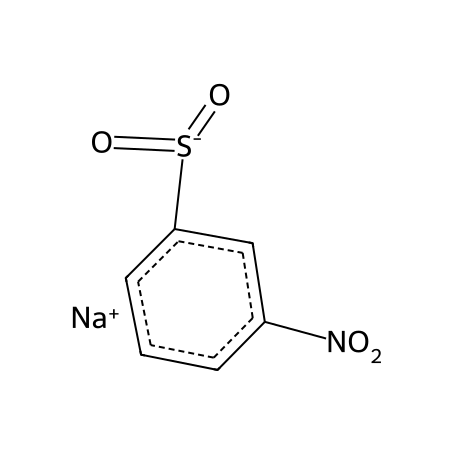 O=[N+]([O-])c1cccc([S-](=O)=O)c1.[Na+]